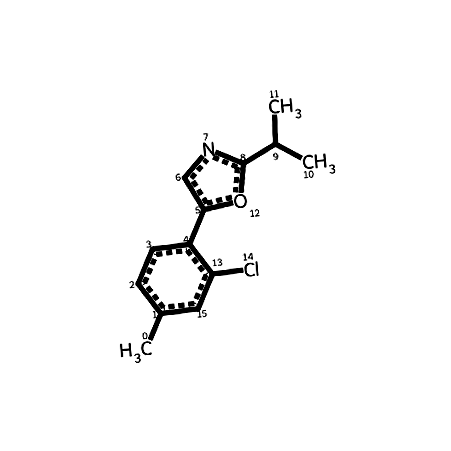 Cc1ccc(-c2cnc(C(C)C)o2)c(Cl)c1